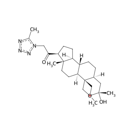 COC[C@]12CC[C@@](C)(O)C[C@@H]1CC[C@H]1[C@@H]3CC[C@H](C(=O)Cn4nnnc4C)[C@@]3(C)CC[C@@H]12